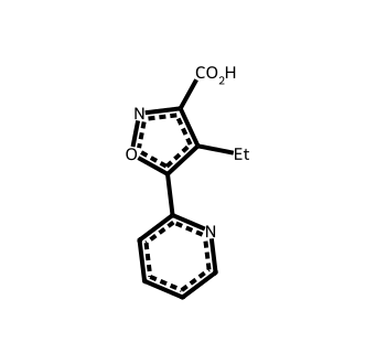 CCc1c(C(=O)O)noc1-c1ccccn1